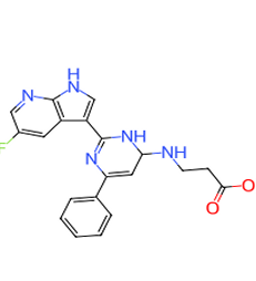 O=C(O)CCNC1C=C(c2ccccc2)N=C(c2c[nH]c3ncc(F)cc23)N1